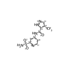 NS(=O)(=O)c1cc(NC(=O)c2[nH]ncc2C(F)(F)F)ccn1